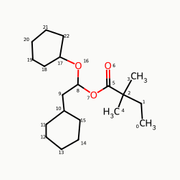 CCC(C)(C)C(=O)OC(CC1CCCCC1)OC1CCCCC1